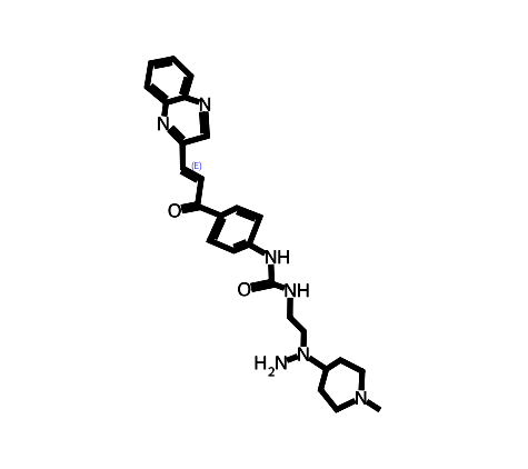 CN1CCC(N(N)CCNC(=O)Nc2ccc(C(=O)/C=C/c3cnc4ccccc4n3)cc2)CC1